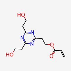 C=CC(=O)OCCc1nc(CCO)nc(CCO)n1